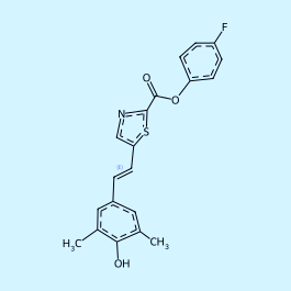 Cc1cc(/C=C/c2cnc(C(=O)Oc3ccc(F)cc3)s2)cc(C)c1O